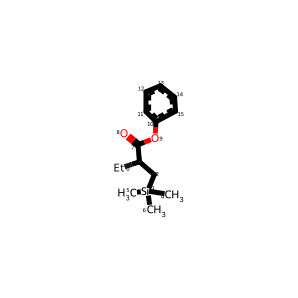 CCC(C[Si](C)(C)C)C(=O)Oc1ccccc1